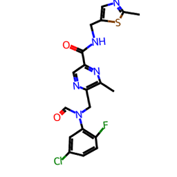 Cc1ncc(CNC(=O)c2cnc(CN(C=O)c3cc(Cl)ccc3F)c(C)n2)s1